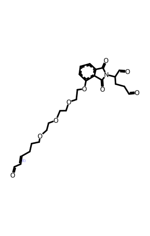 O=C/C=C/CCCOCCOCCOCCOc1cccc2c1C(=O)N(C(C=O)CCC=O)C2=O